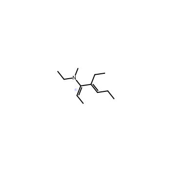 C/C=C(\C(=CCC)CC)N(C)CC